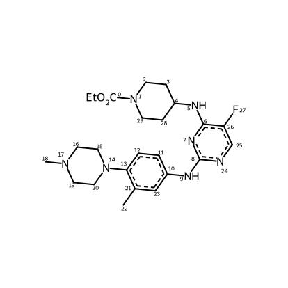 CCOC(=O)N1CCC(Nc2nc(Nc3ccc(N4CCN(C)CC4)c(C)c3)ncc2F)CC1